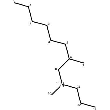 CCCCCCC(C)CN(C)CCC